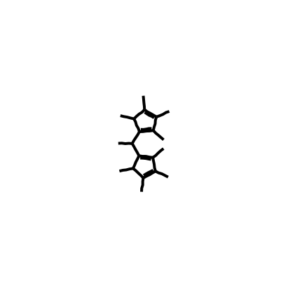 C[C](C1=C(C)C(C)=C(C)C1C)C1=C(C)C(C)=C(C)C1C